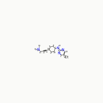 CCc1cnc(N(C)C2CCC(C#CCN(C)C)CC2)nc1